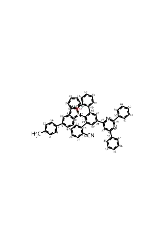 Cc1ccc(-c2ccc3c(c2)c2ccccc2n3-c2c(-c3ccccc3C#N)cc(-c3cc(-c4ccccc4)nc(-c4ccccc4)n3)cc2-c2ccccc2C#N)cc1